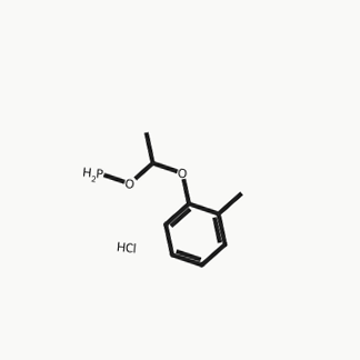 Cc1ccccc1OC(C)OP.Cl